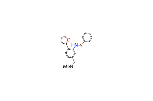 CNCc1ccc(-c2ccco2)c(NSc2ccccc2)c1